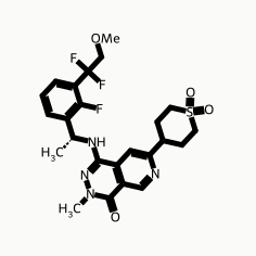 COCC(F)(F)c1cccc([C@@H](C)Nc2nn(C)c(=O)c3cnc(C4CCS(=O)(=O)CC4)cc23)c1F